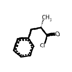 C[C@@H](Cc1ccccc1)C(=O)Cl